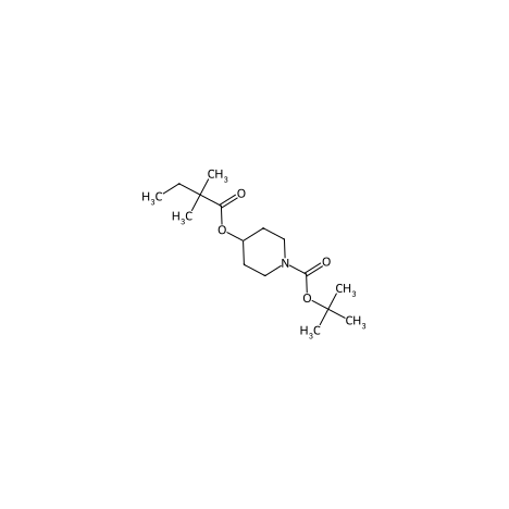 CCC(C)(C)C(=O)OC1CCN(C(=O)OC(C)(C)C)CC1